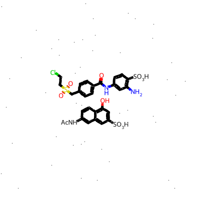 CC(=O)Nc1ccc2c(O)cc(S(=O)(=O)O)cc2c1.Nc1cc(NC(=O)c2ccc(CS(=O)(=O)CCCl)cc2)ccc1S(=O)(=O)O